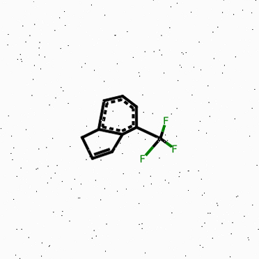 FC(F)(F)c1cccc2c1C=CC2